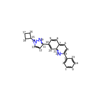 c1ccc(-c2ccc3ccc(-c4ccn(C5CCC5)n4)cc3n2)cc1